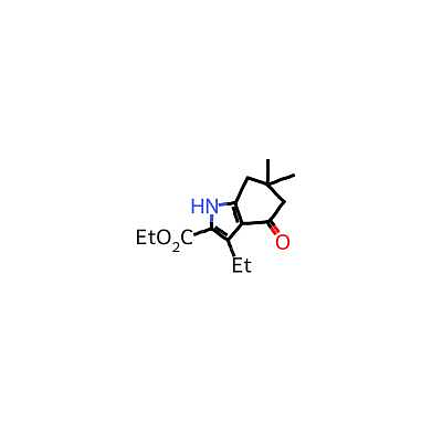 CCOC(=O)c1[nH]c2c(c1CC)C(=O)CC(C)(C)C2